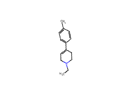 CCN1CC=C(c2ccc(C)cc2)CC1